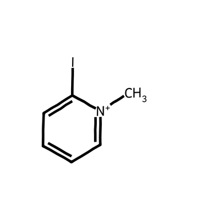 C[n+]1ccccc1I